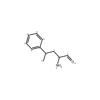 CC(CC(N)C=O)c1ccccc1